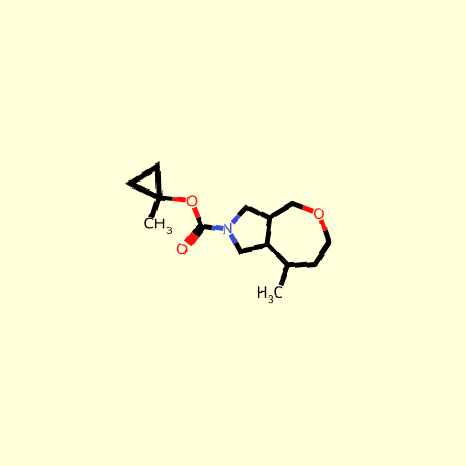 CC1CCOCC2CN(C(=O)OC3(C)CC3)CC12